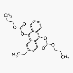 CCCOC(=O)Oc1c2ccccc2c(OC(=O)OCCC)c2cc(CC)ccc12